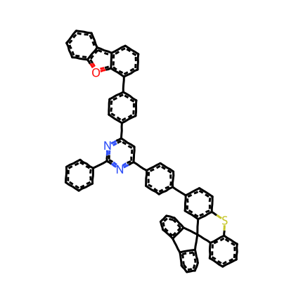 c1ccc(-c2nc(-c3ccc(-c4ccc5c(c4)C4(c6ccccc6S5)c5ccccc5-c5ccccc54)cc3)cc(-c3ccc(-c4cccc5c4oc4ccccc45)cc3)n2)cc1